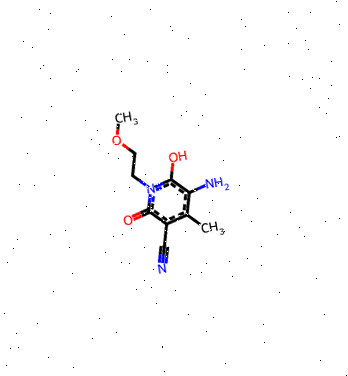 COCCn1c(O)c(N)c(C)c(C#N)c1=O